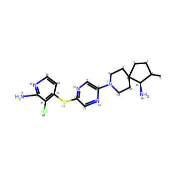 CC1CCC2(CCN(c3cnc(Sc4ccnc(N)c4Cl)cn3)CC2)[C@@H]1N